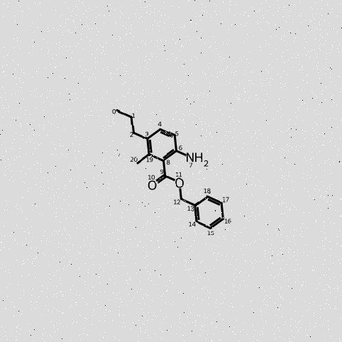 CCCc1ccc(N)c(C(=O)OCc2ccccc2)c1C